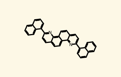 c1ccc2c(-c3ccc4ccc5c(ccc6ccc(-c7cccc8ccccc78)nc65)c4n3)cccc2c1